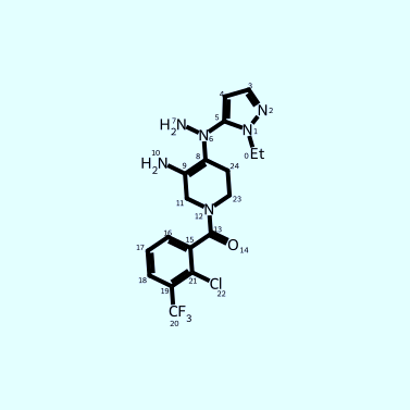 CCn1nccc1N(N)C1=C(N)CN(C(=O)c2cccc(C(F)(F)F)c2Cl)CC1